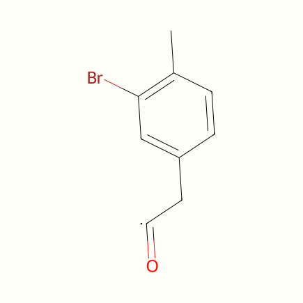 Cc1ccc(C[C]=O)cc1Br